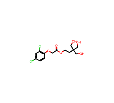 O=C(COc1ccc(Cl)cc1Cl)OCCC(CO)(CO)CO